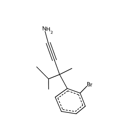 CC(C)C(C)(C#CN)c1ccccc1Br